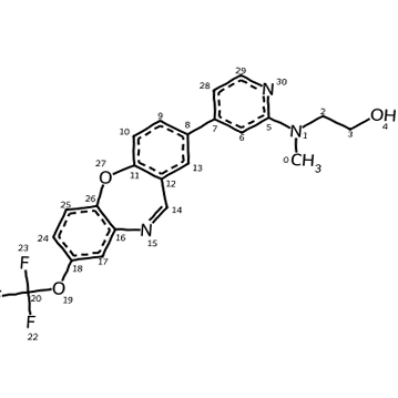 CN(CCO)c1cc(-c2ccc3c(c2)C=Nc2cc(OC(F)(F)F)ccc2O3)ccn1